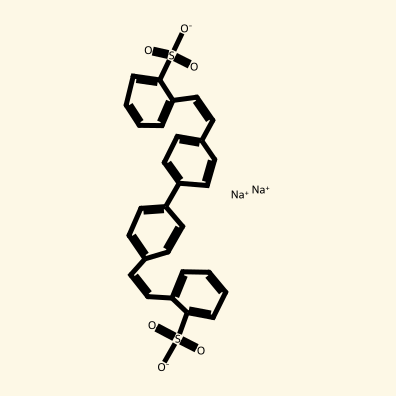 O=S(=O)([O-])c1ccccc1/C=C\c1ccc(-c2ccc(/C=C\c3ccccc3S(=O)(=O)[O-])cc2)cc1.[Na+].[Na+]